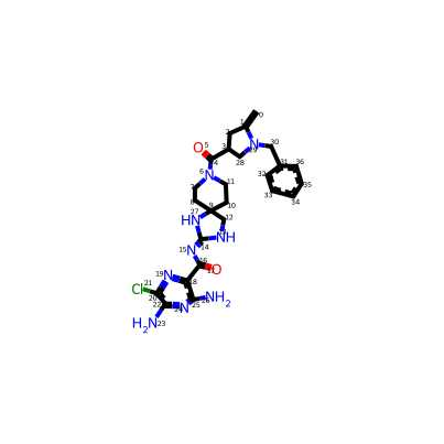 C=C1CC(C(=O)N2CCC3(CC2)CN/C(=N\C(=O)c2nc(Cl)c(N)nc2N)N3)CN1Cc1ccccc1